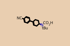 CC(C)(C)N(C(=O)O)C1CC=C(c2ccc(C#N)cc2)CC1